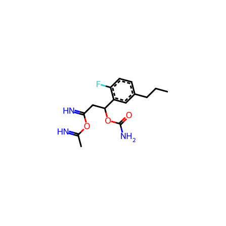 CCCc1ccc(F)c(C(CC(=N)OC(C)=N)OC(N)=O)c1